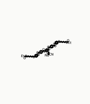 CCC(=O)OCCCCCCOc1ccc(OC(=O)C2CCC(C(=O)Oc3ccc(OC(=O)C4CCC(C(=O)Oc5ccc(OCCCCCCOC(=O)CC)cc5)CC4)c4c3SC(=C(C#N)C#N)S4)CC2)cc1